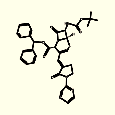 CC(C)(C)OC(=O)N[C@@H]1C(=O)N2[C@@H](C(=O)OC(c3ccccc3)c3ccccc3)C(/C=C3\CCN(c4cnccn4)C3=O)=CS[C@H]12